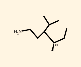 CC[C@@H](C)C(CCN)C(C)C